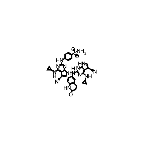 N#Cc1c[nH]c2nc(Nc3ccc(S(N)(=O)=O)cc3)nc(NC3CC3)c12.N#Cc1c[nH]c2nc(Nc3ccc4c(c3)CCC(=O)N4)nc(NC3CC3)c12